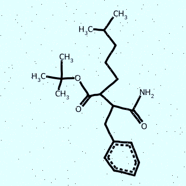 CC(C)CCCC(C(=O)OC(C)(C)C)C(Cc1ccccc1)C(N)=O